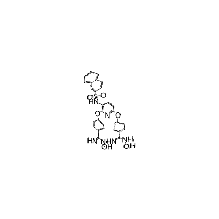 N=C(NO)c1ccc(Oc2ccc(NS(=O)(=O)c3ccc4ccccc4c3)c(Oc3ccc(C(=N)NO)cc3)n2)cc1